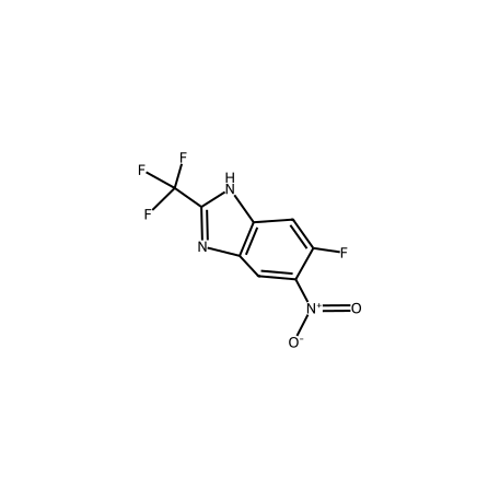 O=[N+]([O-])c1cc2nc(C(F)(F)F)[nH]c2cc1F